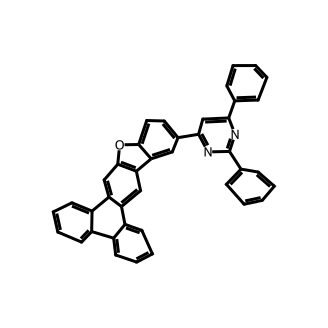 c1ccc(-c2cc(-c3ccc4oc5cc6c7ccccc7c7ccccc7c6cc5c4c3)nc(-c3ccccc3)n2)cc1